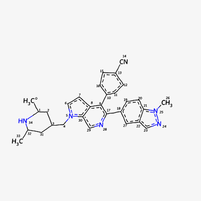 CC1CC(Cn2ccc3c(-c4ccc(C#N)cc4)c(-c4ccc5c(cnn5C)c4)ncc32)CC(C)N1